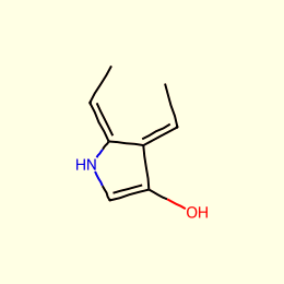 C/C=c1/[nH]cc(O)/c1=C/C